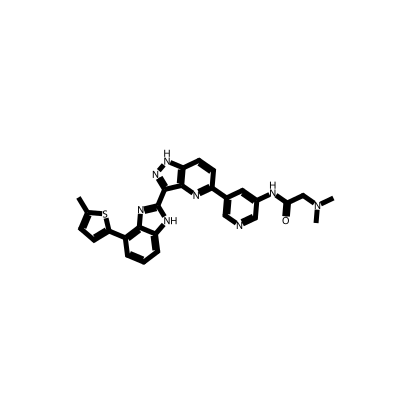 Cc1ccc(-c2cccc3[nH]c(-c4n[nH]c5ccc(-c6cncc(NC(=O)CN(C)C)c6)nc45)nc23)s1